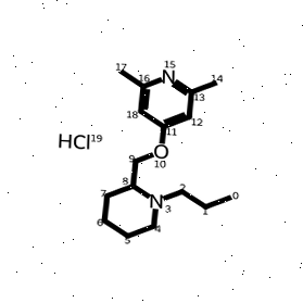 CCCN1CCCCC1COc1cc(C)nc(C)c1.Cl